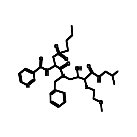 CCCCS(=O)(=O)CC(NC(=O)c1cccnc1)C(=O)N(Cc1ccccc1)CC(O)C(SCCOC)C(=O)NCC(C)C